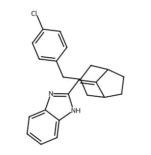 Clc1ccc(CC2CC3CCC(C2)C3=Cc2nc3ccccc3[nH]2)cc1